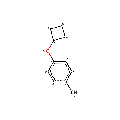 N#Cc1ccc(OC2CCC2)cc1